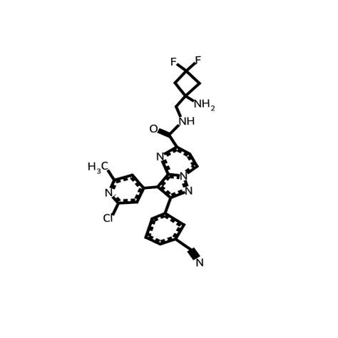 Cc1cc(-c2c(-c3cccc(C#N)c3)nn3ccc(C(=O)NCC4(N)CC(F)(F)C4)nc23)cc(Cl)n1